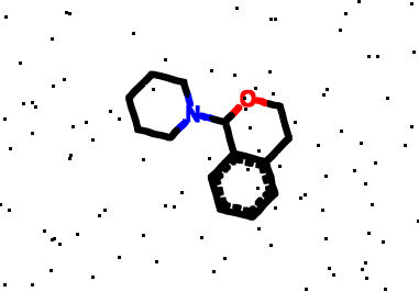 c1ccc2c(c1)CCOC2N1CCCCC1